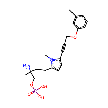 Cc1cccc(OCC#Cc2ccc(CCC(C)(N)COP(=O)(O)O)n2C)c1